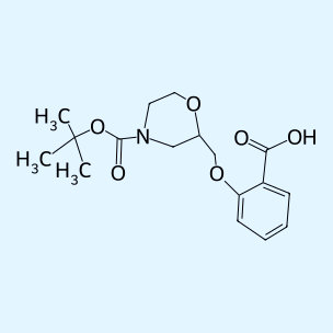 CC(C)(C)OC(=O)N1CCOC(COc2ccccc2C(=O)O)C1